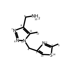 Cc1nc(Cn2nnc(CN)c2C)cs1